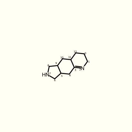 C1CN=C2CC3CNCC3CC2C1